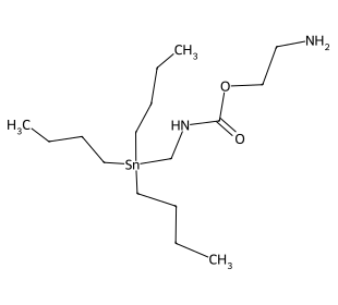 CCC[CH2][Sn]([CH2]CCC)([CH2]CCC)[CH2]NC(=O)OCCN